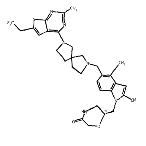 Cc1nc(N2CCC3(CCN(Cc4ccc5c(cc(C#N)n5C[C@@H]5CNC(=O)CO5)c4C)C3)C2)c2cc(CC(F)(F)F)sc2n1